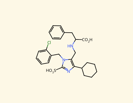 O=C(O)C(Cc1ccccc1)NCc1c(C2CCCCC2)nc(S(=O)(=O)O)n1Cc1ccccc1Cl